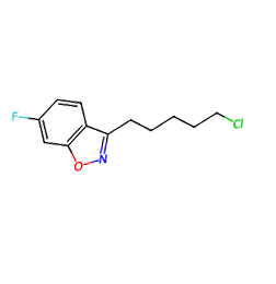 Fc1ccc2c(CCCCCCl)noc2c1